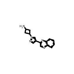 NC1CC(n2cc(-c3cnc4ccccc4n3)cn2)C1